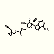 N#CCC1(COC(=O)OC[C@H]2O[C@@](C#N)(c3ccc4c(N)ncnn34)[C@H](O)[C@@H]2O)CC1